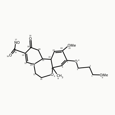 COCCCOC1=CC2(C)OCCN3C=C(C(=O)N=O)C(=O)CC3C2C=C1OC